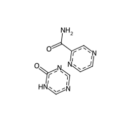 NC(=O)c1cnccn1.O=c1ncnc[nH]1